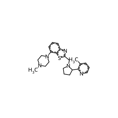 Cc1cccnc1C1CCCN1Cc1nc2cccc(N3CCN(C)CC3)c2s1